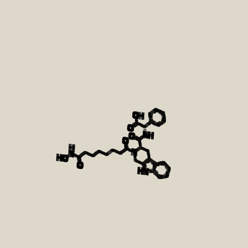 O=C(CCCCCCC(=O)N1Cc2[nH]c3ccccc3c2CC1C(=O)N[C@H](C(=O)O)c1ccccc1)NO